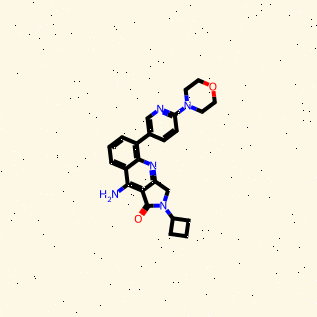 Nc1c2c(nc3c(-c4ccc(N5CCOCC5)nc4)cccc13)CN(C1CCC1)C2=O